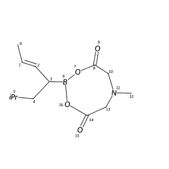 CC=CC(CC(C)C)B1OC(=O)CN(C)CC(=O)O1